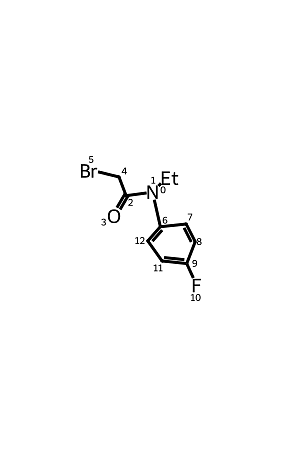 CCN(C(=O)CBr)c1ccc(F)cc1